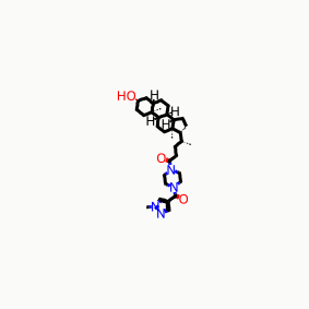 C[C@H](CCC(=O)N1CCN(C(=O)c2cnn(C)c2)CC1)[C@H]1CC[C@H]2[C@@H]3CC[C@H]4C[C@@H](O)CC[C@]4(C)[C@H]3CC[C@]12C